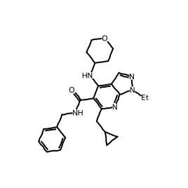 CCn1ncc2c(NC3CCOCC3)c(C(=O)NCc3ccccc3)c(CC3CC3)nc21